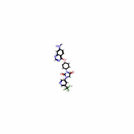 CNc1ccc2c(O[C@H]3CC[C@@H](N4C(=O)CN(c5cncc(C(F)(F)F)c5)C4=O)CC3)ncnc2c1